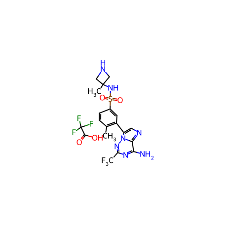 Cc1ccc(S(=O)(=O)NC2(C)CNC2)cc1-c1cnc2c(N)nc(C(F)(F)F)nn12.O=C(O)C(F)(F)F